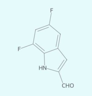 O=Cc1cc2cc(F)cc(F)c2[nH]1